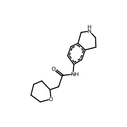 O=C(CC1CCCCO1)Nc1ccc2c(c1)CCNC2